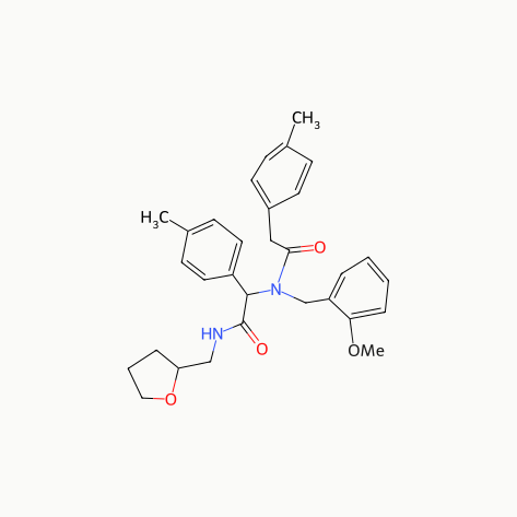 COc1ccccc1CN(C(=O)Cc1ccc(C)cc1)C(C(=O)NCC1CCCO1)c1ccc(C)cc1